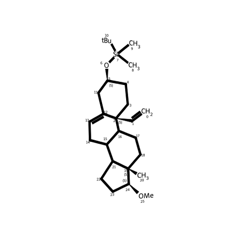 C=C[C@]12CC[C@H](O[Si](C)(C)C(C)(C)C)CC1=CCC1C2CC[C@@]2(C)C1CC[C@@H]2OC